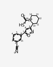 N#Cc1cccc(-c2cc(C3CCCCN3C(=O)S)no2)c1